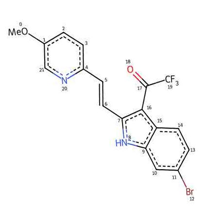 COc1ccc(C=Cc2[nH]c3cc(Br)ccc3c2C(=O)C(F)(F)F)nc1